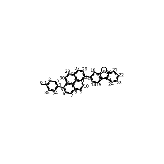 Cc1ccc(-c2ccc3ccc4c(-c5ccc6c(c5)oc5ccccc56)ccc5ccc2c3c54)cc1